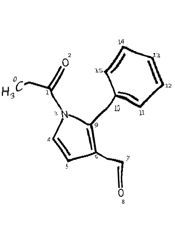 CC(=O)n1ccc(C=O)c1-c1ccccc1